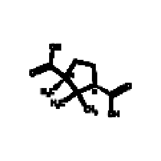 CC1(C)[C@@H](C(=O)O)CC[C@]1(C)C(=O)O